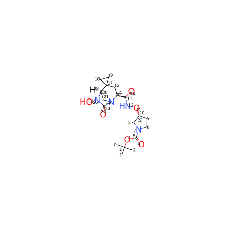 CC(C)(C)OC(=O)N1CC[C@H](ONC(=O)[C@@H]2CC3(CC3)[C@H]3CN2C(=O)N3O)C1